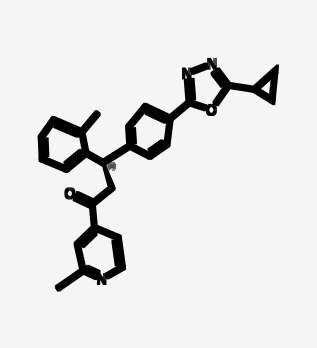 Cc1cc(C(=O)C[C@H](c2ccc(-c3nnc(C4CC4)o3)cc2)c2ccccc2C)ccn1